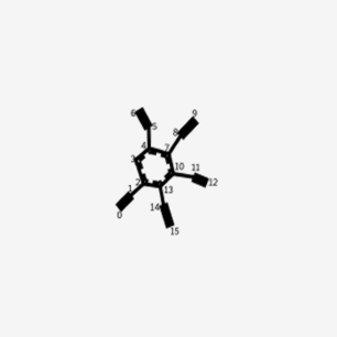 C#Cc1[c]c(C#C)c(C#C)c(C#C)c1C#C